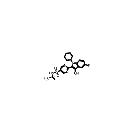 C[C@H](NS(=O)(=O)c1cnc(-c2c(C#N)c3cc(F)ccc3n2C2CCCCC2)nc1)C(F)(F)F